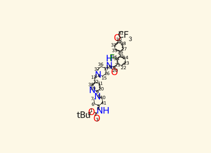 CC(C)(C)OC(=O)NC1CCN(c2ccc(CN3CCC(NC(=O)c4cccc(-c5ccc(OC(F)(F)F)cc5)c4F)CC3)cn2)CC1